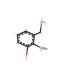 COc1c(I)cccc1CN